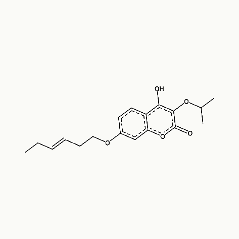 CCC=CCCOc1ccc2c(O)c(OC(C)C)c(=O)oc2c1